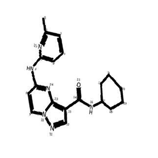 Cc1cccc(Nc2ccn3ncc(C(=O)NC4CCCCC4)c3n2)n1